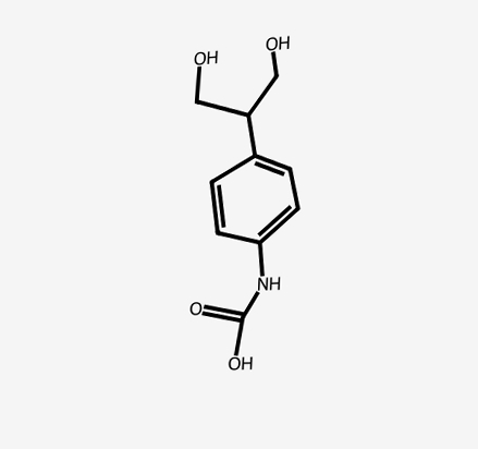 O=C(O)Nc1ccc(C(CO)CO)cc1